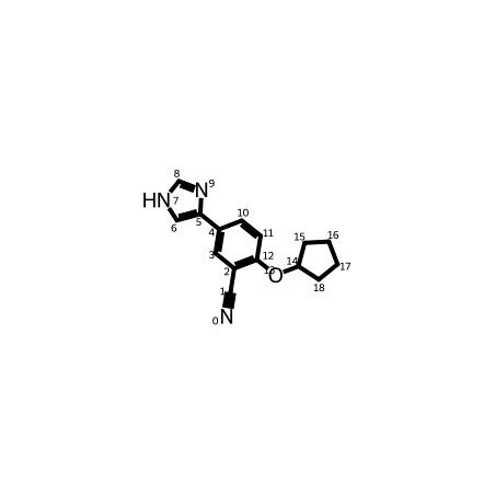 N#Cc1cc(-c2c[nH]cn2)ccc1OC1CCCC1